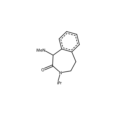 CNC1C(=O)N(C(C)C)CCc2ccccc21